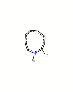 CCc1cccccccn1C(C)=O